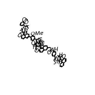 COc1cc(-c2ccc3c4c(ccc3c2)OCC2[C@@H]4N=C3SC=C(c4cccc5c4OCCO5)N3C2(C)C)c(OC)cc1C1=CSC2=N[C@@H]3c4c(ccc5cc(CC(=O)Nc6ccc(C7=CSC8=N[C@@H]9c%10c(ccc%11ccccc%10%11)OC[C@@H]9C(C)(C)N78)cc6)ccc45)OC[C@@H]3C(C)(C)N12